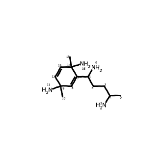 CC(N)CCC(N)C1=CC(C)(N)C=CC1(C)N